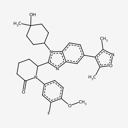 COc1ccc(N2C(=O)CCCC2c2nc3cc(-c4c(C)noc4C)ccc3n2C2CCC(C)(O)CC2)cc1F